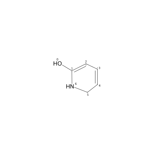 OC1=[C][C]=CCN1